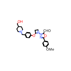 COc1ccc(C2=NN(N3CCC3Oc3ccc(CN4CCC(CO)CC4)cc3)C(C=O)O2)cc1